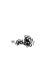 CC(C)CN(C[C@H]1CN(S(=O)(=O)C2=CC=CCC2=S)CCN1c1ccc([C@](C)(O)C(F)(F)F)cc1)S(=O)(=O)N(C)C